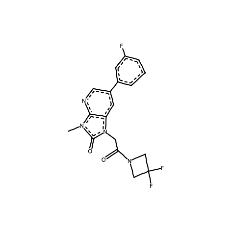 Cn1c(=O)n(CC(=O)N2CC(F)(F)C2)c2cc(-c3cccc(F)c3)cnc21